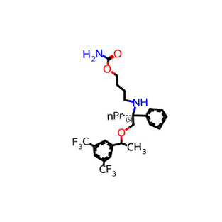 CCC[C@](COC(C)c1cc(C(F)(F)F)cc(C(F)(F)F)c1)(NCCCCOC(N)=O)c1ccccc1